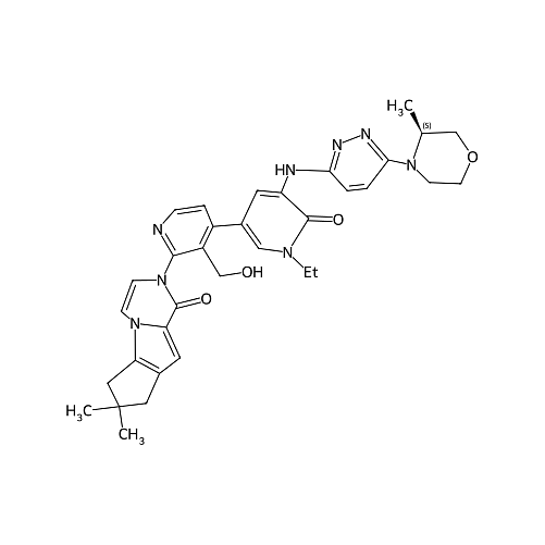 CCn1cc(-c2ccnc(-n3ccn4c5c(cc4c3=O)CC(C)(C)C5)c2CO)cc(Nc2ccc(N3CCOC[C@@H]3C)nn2)c1=O